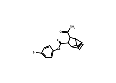 NC(=O)C1C(C(=O)Nc2ccc(Br)cc2)C2C=CC1C21CC1